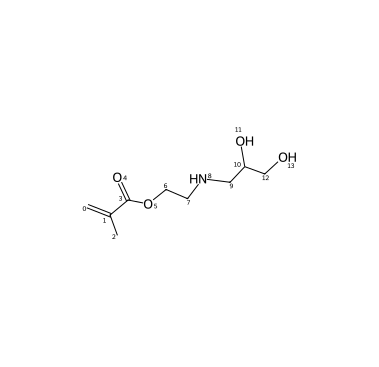 C=C(C)C(=O)OCCNCC(O)CO